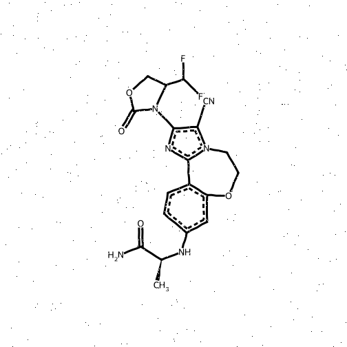 C[C@H](Nc1ccc2c(c1)OCCn1c-2nc(N2C(=O)OCC2C(F)F)c1C#N)C(N)=O